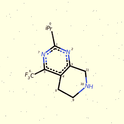 CC(C)c1nc2c(c(C(F)(F)F)n1)CCNC2